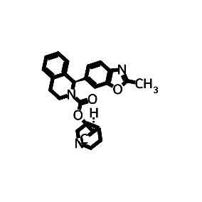 Cc1nc2ccc([C@@H]3c4ccccc4CCN3C(=O)O[C@@H]3CN4CCC3CC4)cc2o1